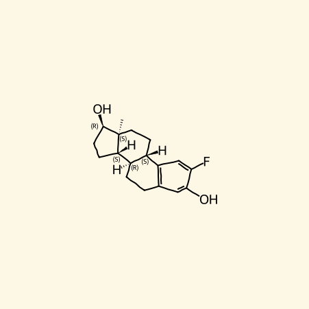 C[C@]12CC[C@@H]3c4cc(F)c(O)cc4CC[C@H]3[C@@H]1CC[C@H]2O